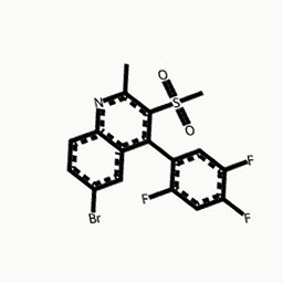 Cc1nc2ccc(Br)cc2c(-c2cc(F)c(F)cc2F)c1S(C)(=O)=O